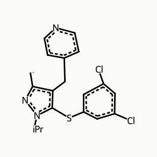 [CH2]c1nn(C(C)C)c(Sc2cc(Cl)cc(Cl)c2)c1Cc1ccncc1